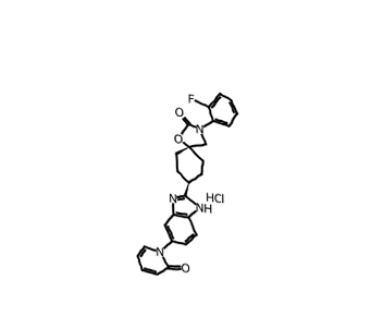 Cl.O=C1O[C@]2(CC[C@H](c3nc4cc(-n5ccccc5=O)ccc4[nH]3)CC2)CN1c1ccccc1F